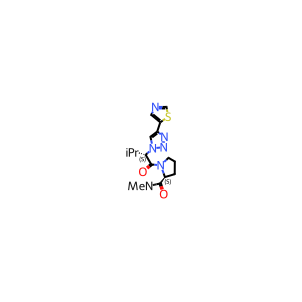 CNC(=O)[C@@H]1CCCN1C(=O)[C@H](C(C)C)n1cc(-c2cncs2)nn1